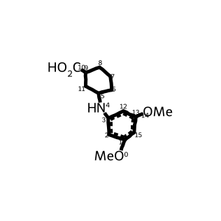 COc1cc(NC2CCCC(C(=O)O)C2)cc(OC)c1